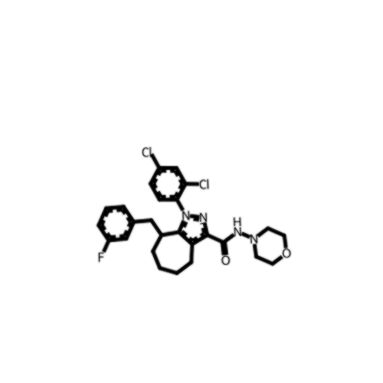 O=C(NN1CCOCC1)c1nn(-c2ccc(Cl)cc2Cl)c2c1CCCCC2Cc1cccc(F)c1